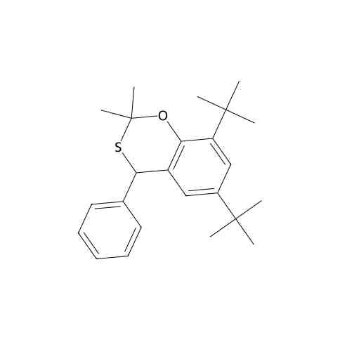 CC1(C)Oc2c(cc(C(C)(C)C)cc2C(C)(C)C)C(c2ccccc2)S1